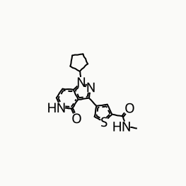 CNC(=O)c1cc(-c2nn(C3CCCC3)c3cc[nH]c(=O)c23)cs1